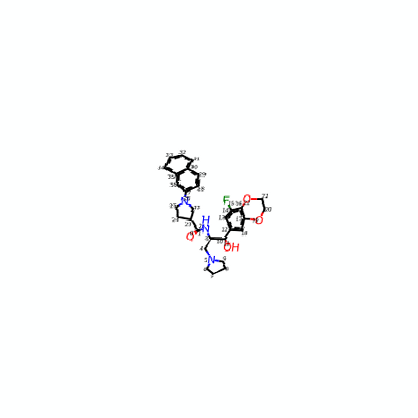 O=C(N[C@H](CN1CCCC1)[C@H](O)c1cc(F)c2c(c1)OCCO2)C1CCN(c2ccc3ccccc3c2)C1